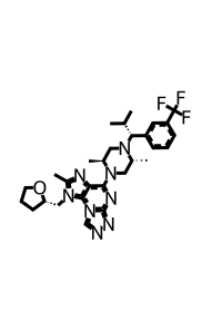 Cc1nc2c(N3C[C@@H](C)N([C@@H](c4cccc(C(F)(F)F)c4)C(C)C)C[C@@H]3C)nc3nncn3c2n1C[C@@H]1CCCO1